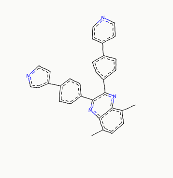 Cc1ccc(C)c2nc(-c3ccc(-c4ccncc4)cc3)c(-c3ccc(-c4ccncc4)cc3)nc12